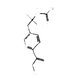 CC(C)(Cc1ccc(C(=O)CBr)nc1)OC(N)=O